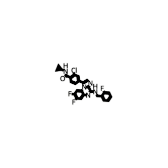 O=C(NC1CC1)c1ccc(-c2cnc3c(NCc4ccccc4F)nc4cc(F)c(F)cc4n23)cc1Cl